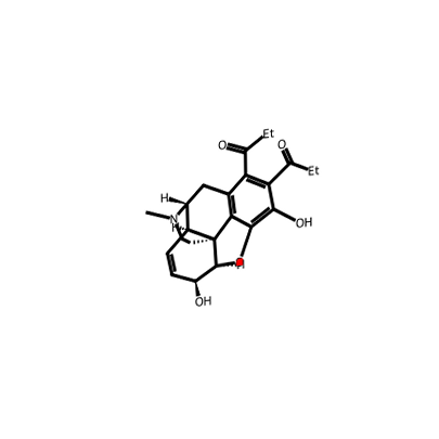 CCC(=O)c1c(O)c2c3c(c1C(=O)CC)C[C@@H]1[C@@H]4C=C[C@H](O)[C@H](O2)[C@]34CCN1C